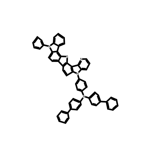 c1ccc(-c2ccc(N(c3ccc(-c4ccccc4)cc3)c3ccc(-n4c5cccnc5c5c6sc7c(ccc8c7c7ccccc7n8-c7ccccc7)c6ccc54)cc3)cc2)cc1